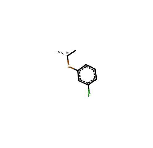 [CH2][C@H](C)Sc1cccc(F)c1